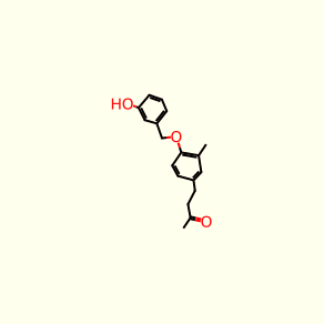 CC(=O)CCc1ccc(OCc2cccc(O)c2)c(C)c1